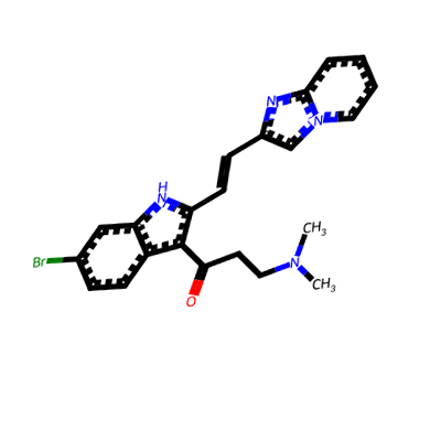 CN(C)CCC(=O)c1c(C=Cc2cn3ccccc3n2)[nH]c2cc(Br)ccc12